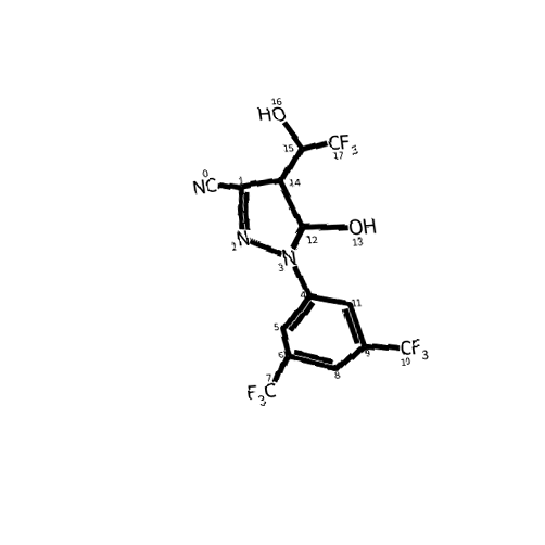 N#CC1=NN(c2cc(C(F)(F)F)cc(C(F)(F)F)c2)C(O)C1C(O)C(F)(F)F